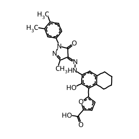 CC1=NN(c2ccc(C)c(C)c2)C(=O)/C1=N/Nc1cc2c(c(-c3ccc(C(=O)O)o3)c1O)CCCC2